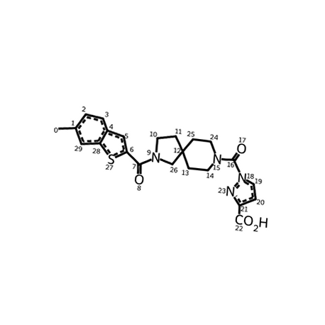 Cc1ccc2cc(C(=O)N3CCC4(CCN(C(=O)n5ccc(C(=O)O)n5)CC4)C3)sc2c1